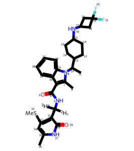 [2H]C([2H])(NC(=O)c1c(C)n(C(C)C2CCC(NC3CC(F)(F)C3)CC2)c2ccccc12)c1c(SC)cc(C)[nH]c1=O